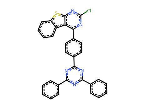 Clc1nc(-c2ccc(-c3nc(-c4ccccc4)nc(-c4ccccc4)n3)cc2)c2c(n1)sc1ccccc12